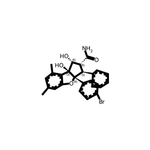 Cc1cc(C)c2c(c1)O[C@@]1(c3ccc(Br)cc3)[C@H](c3ccccc3)[C@@H](C(N)=O)[C@@H](O)[C@@]21O